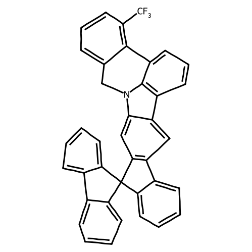 FC(F)(F)c1cccc2c1-c1cccc3c4cc5c(cc4n(c13)C2)C1(c2ccccc2-c2ccccc21)c1ccccc1-5